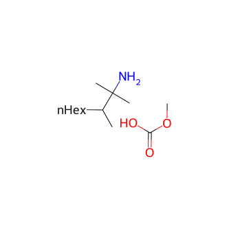 CCCCCCC(C)C(C)(C)N.COC(=O)O